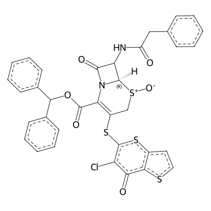 O=C(Cc1ccccc1)NC1C(=O)N2C(C(=O)OC(c3ccccc3)c3ccccc3)=C(Sc3sc4ccsc4c(=O)c3Cl)C[S+]([O-])[C@H]12